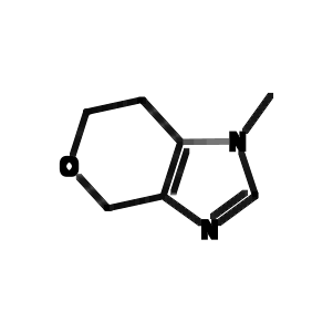 Cn1cnc2c1CCOC2